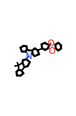 CC1(C)c2ccccc2-c2ccc(-n3c4ccccc4c4cc(-c5ccc6c(c5)Oc5ccccc5O6)ccc43)cc21